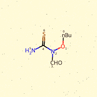 CCCCON(C=O)C(N)=S